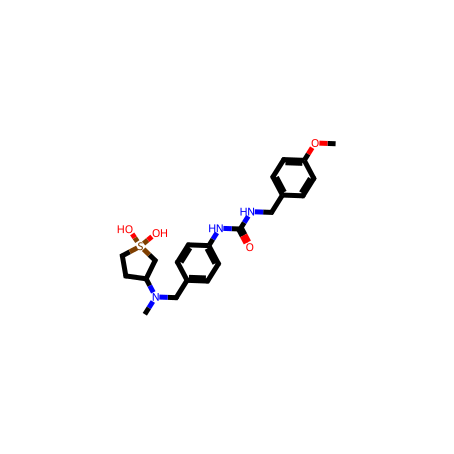 COc1ccc(CNC(=O)Nc2ccc(CN(C)C3CCS(O)(O)C3)cc2)cc1